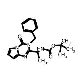 CC(NC(=O)OC(C)(C)C)c1nc2cccn2c(=O)n1Cc1ccccc1